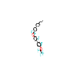 CCCC1CCC(C2CCC(C(F)(F)Oc3ccc(-c4ccc(OC(F)=C(F)F)c(F)c4)c(F)c3)CC2)CC1